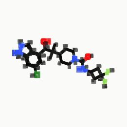 CC(C)(C1CCN(C(=O)NC2CC(F)(F)C2)CC1)C(O)c1cc(Cl)cc2[nH]ncc12